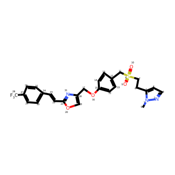 Cn1nccc1CCS(=O)(=O)Cc1ccc(OCc2coc(C=Cc3ccc(C(F)(F)F)cc3)n2)cc1